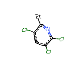 CCc1nc(Cl)c(Cl)cc1Cl